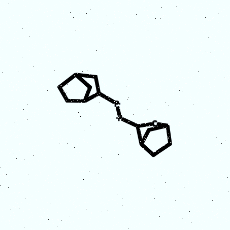 C1CC2CC1CC2[P][P]C1CC2CCC1C2